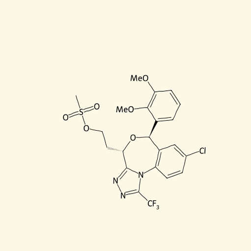 COc1cccc([C@@H]2O[C@@H](CCOS(C)(=O)=O)c3nnc(C(F)(F)F)n3-c3ccc(Cl)cc32)c1OC